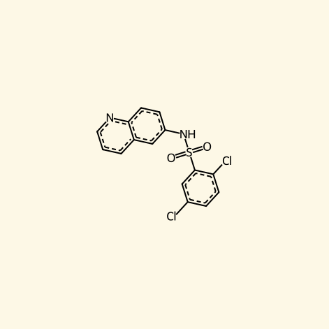 O=S(=O)(Nc1ccc2ncccc2c1)c1cc(Cl)ccc1Cl